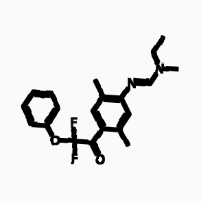 CCN(C)C=Nc1cc(C)c(C(=O)C(F)(F)Oc2ccccc2)cc1C